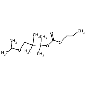 CCCOC(=O)OC(C)(C)C(C)(C)COC(C)N